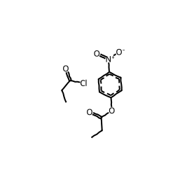 CCC(=O)Cl.CCC(=O)Oc1ccc([N+](=O)[O-])cc1